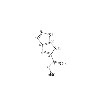 O=C(CBr)c1cc2ccsc2s1